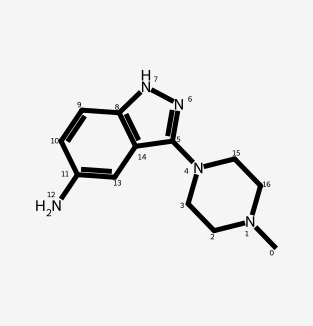 CN1CCN(c2n[nH]c3ccc(N)cc23)CC1